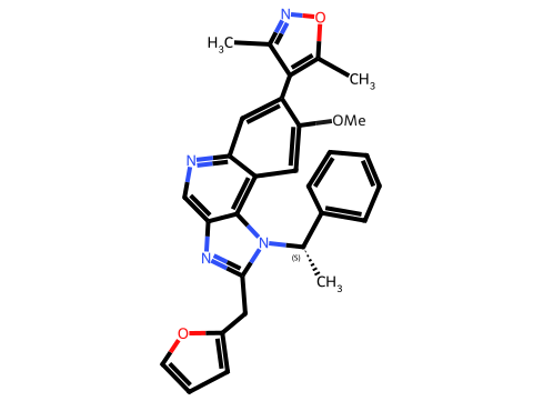 COc1cc2c(cc1-c1c(C)noc1C)ncc1nc(Cc3ccco3)n([C@@H](C)c3ccccc3)c12